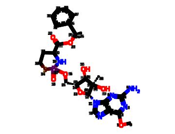 COc1nc(N)nc2c1ncn2[C@@H]1O[C@H](COP2(=O)NC(C(=O)O[C@H](C)c3ccccc3)CCS2)[C@@H](O)[C@@]1(C)O